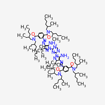 CCCCC(CC)CN(CC(CC)CCCC)C(=O)c1ccc(C(=O)N(CC(CC)CCCC)CC(CC)CCCC)c(/N=N/c2c(C(C)(C)C)nn(-c3ncnc(-n4nc(C(C)(C)C)c(/N=N/c5cc(C(=O)N(CC(CC)CCCC)CC(CC)CCCC)ccc5C(=O)N(CC(CC)CCCC)CC(CC)CCCC)c4N)n3)c2N)c1